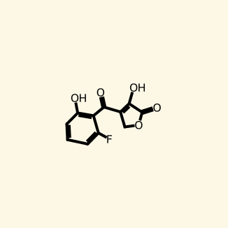 O=C1OCC(C(=O)c2c(O)cccc2F)=C1O